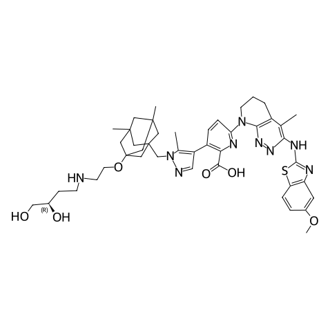 COc1ccc2sc(Nc3nnc4c(c3C)CCCN4c3ccc(-c4cnn(CC56CC7(C)CC(C)(C5)CC(OCCNCC[C@@H](O)CO)(C7)C6)c4C)c(C(=O)O)n3)nc2c1